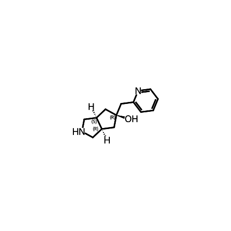 O[C@@]1(Cc2ccccn2)C[C@H]2CNC[C@H]2C1